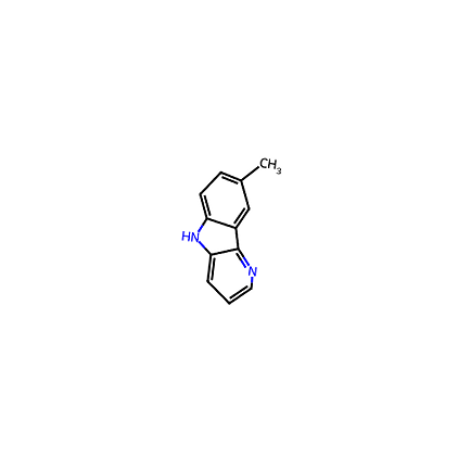 Cc1ccc2[nH]c3cccnc3c2c1